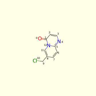 O=c1ccnc2ccc(CCl)cn12